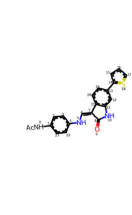 CC(=O)Nc1ccc(NC=C2C(=O)Nc3cc(-c4cccs4)ccc32)cc1